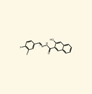 O=C(N/N=C/c1ccc(F)c(F)c1)c1cc2ccccc2cc1O